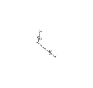 CC(C)CCCCOC(=O)CCCCCCCCCCCC(C)CCC(=O)OCCCCC(C)C